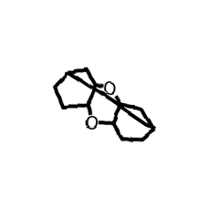 C1CC2OC3CCC4CC3OC2CC14